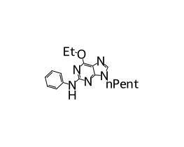 CCCCCn1cnc2c(OCC)nc(Nc3ccccc3)nc21